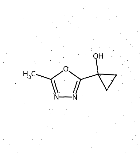 Cc1nnc(C2(O)CC2)o1